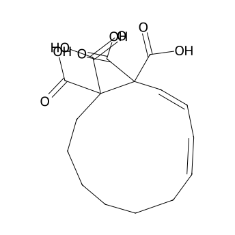 O=C(O)C1(C(=O)O)C=CC=CCCCCCCC1(C(=O)O)C(=O)O